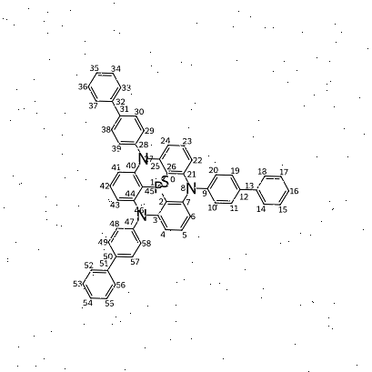 S=P12c3c4cccc3N(c3ccc(-c5ccccc5)cc3)c3cccc(c31)N(c1ccc(-c3ccccc3)cc1)c1cccc(c12)N4c1ccc(-c2ccccc2)cc1